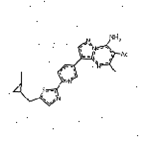 CC(=O)c1c(C)nc2c(-c3ccc(-c4ncc(CC5CC5C)s4)nc3)cnn2c1N